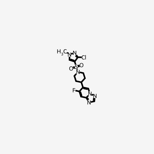 Cn1cc(S(=O)(=O)N2CCC(c3cn4ncnc4cc3F)CC2)c(Cl)n1